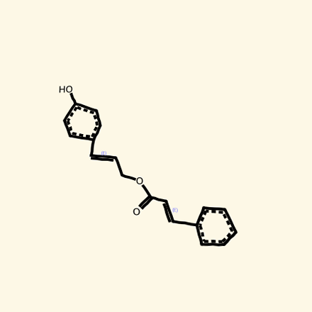 O=C(/C=C/c1ccccc1)OC/C=C/c1ccc(O)cc1